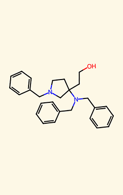 OCCC1(N(Cc2ccccc2)Cc2ccccc2)CCN(Cc2ccccc2)C1